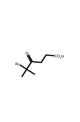 CC(=O)C(C)(C)C(=O)CCC(=O)O